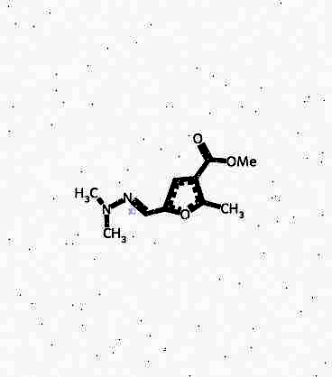 COC(=O)c1cc(/C=N/N(C)C)oc1C